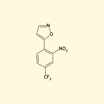 O=[N+]([O-])c1cc(C(F)(F)F)ccc1-c1ccno1